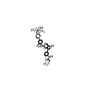 C=CC(=O)Nc1cccc(-c2c[nH]c3cnc(Nc4ccc(N5CCN(CC(C)(C)O)CC5)cc4F)nc23)c1